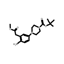 COC(=O)Cc1cc(N2CCN(C(=O)OC(C)(C)C)CC2)ccc1N